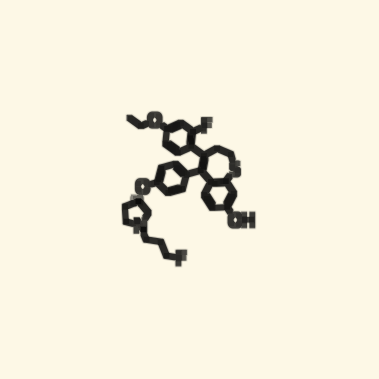 CCOc1ccc(C2=C(c3ccc(O[C@H]4CCN(CCCF)C4)cc3)c3ccc(O)cc3SCC2)c(F)c1